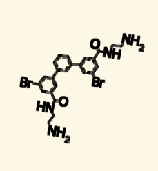 NCCNC(=O)c1cc(Br)cc(-c2cccc(-c3cc(Br)cc(C(=O)NCCN)c3)c2)c1